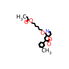 CCC(=O)OCCCCCCOc1nccc2oc(=O)c(-c3cccc(C)c3)cc12